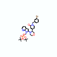 CC(C)(C)OP(=O)(OCn1c(N2CCOCC2c2ccn(Cc3cccc(Br)c3)c(=O)c2)cc2cccnc21)OC(C)(C)C